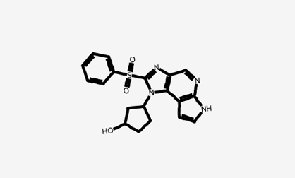 O=S(=O)(c1ccccc1)c1nc2cnc3[nH]ccc3c2n1C1CCC(O)C1